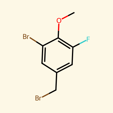 COc1c(F)cc(CBr)cc1Br